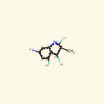 Cc1c(F)nc2cc(I)cc(F)c2c1F